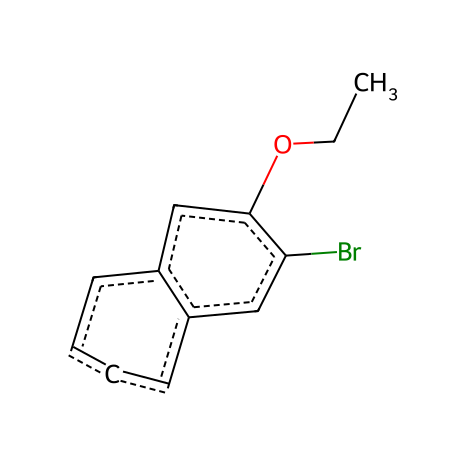 CCOc1cc2ccccc2cc1Br